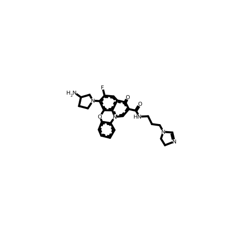 NC1CCN(c2c(F)cc3c(=O)c(C(=O)NCCCN4C=NCC4)cn4c3c2Oc2ccccc2-4)C1